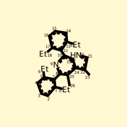 CCc1cccc(CC)c1-c1nc(-c2c(CC)cccc2CC)c2[nH]cc(C)c2c1C